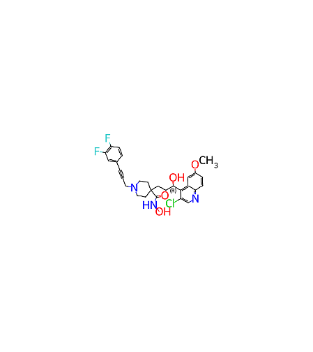 COc1ccc2ncc(Cl)c([C@H](O)CCC3(C(=O)NO)CCN(CC#Cc4ccc(F)c(F)c4)CC3)c2c1